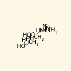 CN1CCN=C1NNCCC[C@H]1CC[C@]2(O)[C@@H]3CC[C@@H]4C[C@@H](O)CC[C@]4(C)[C@H]3CC[C@]12C